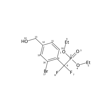 CCOP(=O)(OCC)C(F)(F)c1ccc(CO)cc1Br